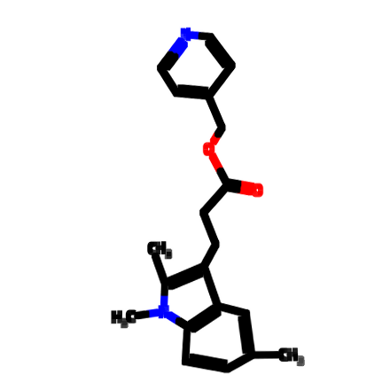 Cc1ccc2c(c1)c(CCC(=O)OCc1ccncc1)c(C)n2C